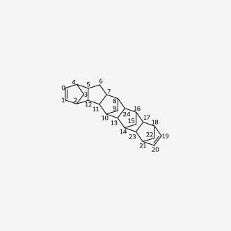 C1=CC2CC1C1CC3C4CC(C3C21)C1C2CC(C3C5C=CC(C5)C23)C41